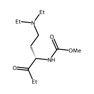 CCC(=O)[C@H](CCN(CC)CC)NC(=O)OC